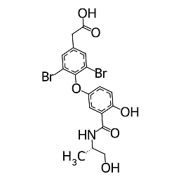 C[C@@H](CO)NC(=O)c1cc(Oc2c(Br)cc(CC(=O)O)cc2Br)ccc1O